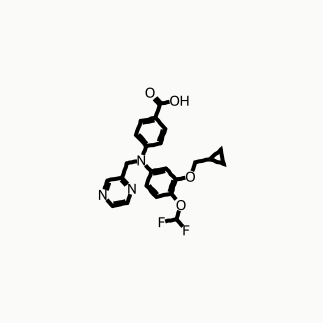 O=C(O)c1ccc(N(Cc2cnccn2)c2ccc(OC(F)F)c(OCC3CC3)c2)cc1